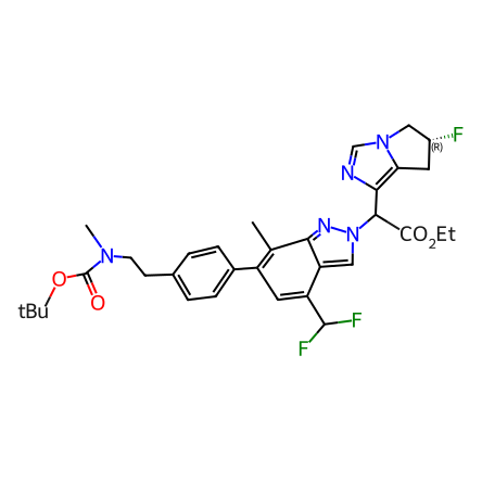 CCOC(=O)C(c1ncn2c1C[C@@H](F)C2)n1cc2c(C(F)F)cc(-c3ccc(CCN(C)C(=O)OC(C)(C)C)cc3)c(C)c2n1